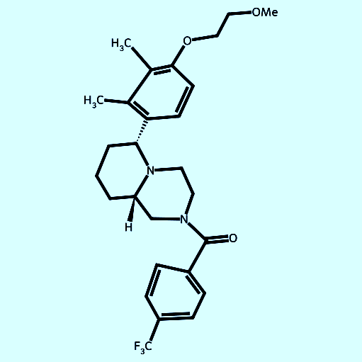 COCCOc1ccc([C@H]2CCC[C@H]3CN(C(=O)c4ccc(C(F)(F)F)cc4)CCN32)c(C)c1C